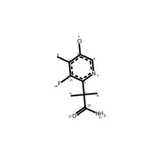 Cc1c(Cl)cnc(C(C)(C)C(N)=O)c1F